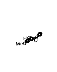 COc1ccc(C2(O)CCN(C(=O)OCc3ccccc3)CC2)cc1